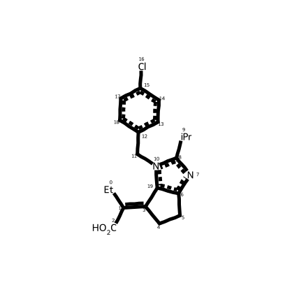 CCC(C(=O)O)=C1CCc2nc(C(C)C)n(Cc3ccc(Cl)cc3)c21